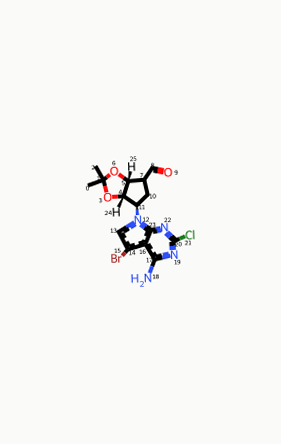 CC1(C)O[C@@H]2[C@H](O1)C(C=O)C[C@H]2n1cc(Br)c2c(N)nc(Cl)nc21